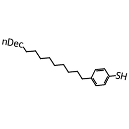 CCCCCCCCCCCCCCCCCCCc1ccc(S)cc1